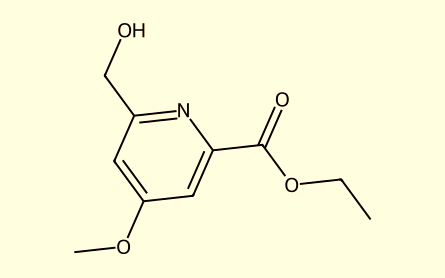 CCOC(=O)c1cc(OC)cc(CO)n1